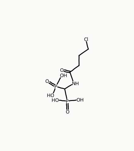 O=C(CCCCl)NC(P(=O)(O)O)P(=O)(O)O